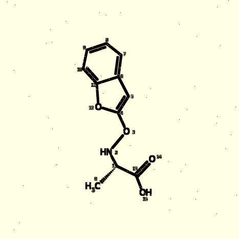 C[C@H](NOc1cc2ccccc2o1)C(=O)O